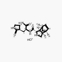 Cl.NC(=O)[C@H](C[C@@H]1CCNC1=O)NC(=O)[C@H]1NC[C@H]2[C@@H]1[C@H]1C=C[C@@H]2C1